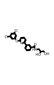 O=C(NCC(O)CO)c1cccc(-c2cccc(Oc3cc(Cl)cc(Cl)c3)n2)c1